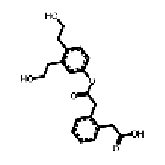 O=C(O)Cc1ccccc1CC(=O)Oc1ccc(CCO)c(CCO)c1